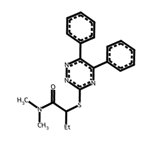 CCC(Sc1nnc(-c2ccccc2)c(-c2ccccc2)n1)C(=O)N(C)C